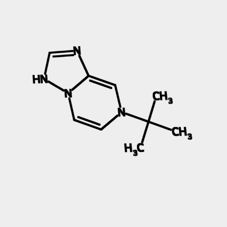 CC(C)(C)N1C=CN2NC=NC2=C1